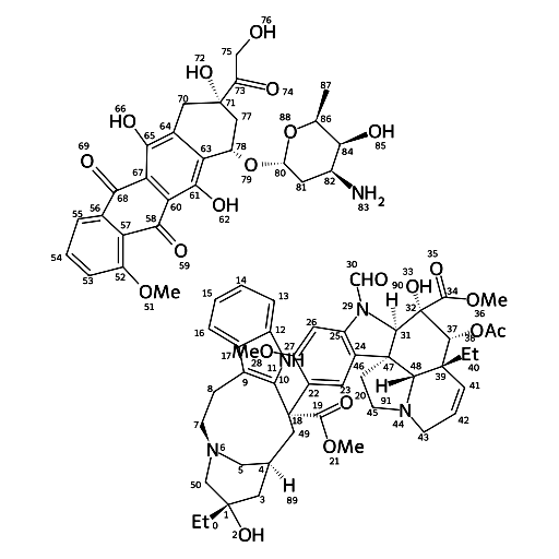 CC[C@]1(O)C[C@H]2C[N@](CCc3c([nH]c4ccccc34)[C@@](C(=O)OC)(c3cc4c(cc3OC)N(C=O)[C@H]3[C@@](O)(C(=O)OC)[C@H](OC(C)=O)[C@]5(CC)C=CCN6CC[C@]43[C@@H]65)C2)C1.COc1cccc2c1C(=O)c1c(O)c3c(c(O)c1C2=O)C[C@@](O)(C(=O)CO)C[C@@H]3O[C@H]1C[C@H](N)[C@H](O)[C@H](C)O1